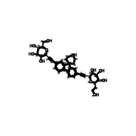 OCC[C@H]1O[C@H](C#Cc2ccc3c(c2)C2(CCNCC2)c2cc(C#C[C@H]4O[C@H](CO)[C@@H](O)[C@H](O)[C@@H]4O)ccc2-3)[C@@H](O)[C@@H](O)[C@@H]1O